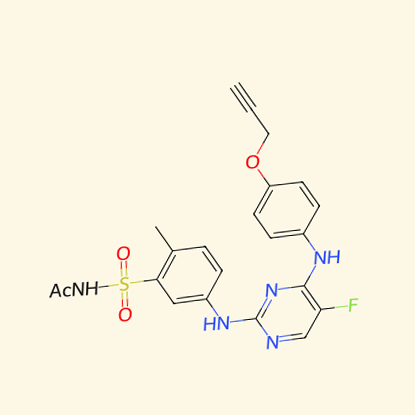 C#CCOc1ccc(Nc2nc(Nc3ccc(C)c(S(=O)(=O)NC(C)=O)c3)ncc2F)cc1